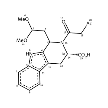 COC(CC1c2[nH]c3ccccc3c2C[C@@H](C(=O)O)N1C(=O)CC(C)=O)OC